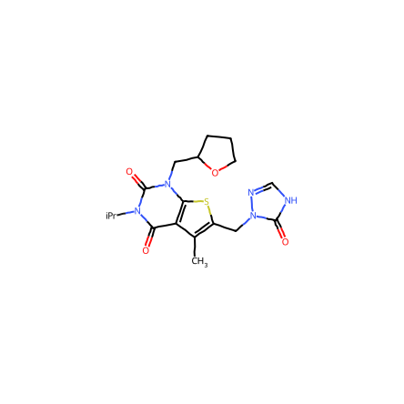 Cc1c(Cn2nc[nH]c2=O)sc2c1c(=O)n(C(C)C)c(=O)n2CC1CCCO1